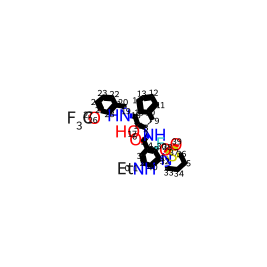 CCNc1cc(C(=O)N[C@@H](Cc2ccccc2)[C@H](O)CNCc2cccc(OC(F)(F)F)c2)c(F)c(N2CCCCS2(=O)=O)c1